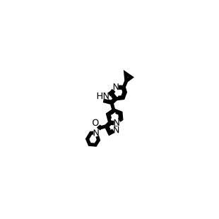 O=C(c1cnn2ccc(-c3c[nH]c4nc(C5CC5)ccc34)cc12)N1CCCCC1